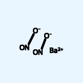 O=N[O-].O=N[O-].[Ba+2]